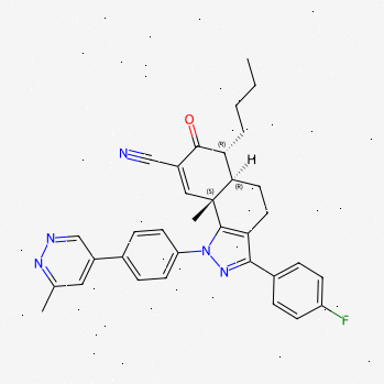 CCCC[C@H]1C(=O)C(C#N)=C[C@@]2(C)c3c(c(-c4ccc(F)cc4)nn3-c3ccc(-c4cnnc(C)c4)cc3)CC[C@H]12